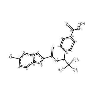 CC(C)(C)C(NC(=O)c1cc2cc(Cl)ccc2o1)c1ccc(C(=O)NO)cc1